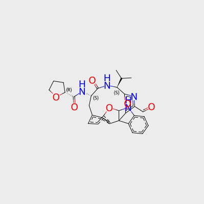 CC(C)[C@@H]1NC(=O)[C@@H](NC(=O)[C@H]2CCCO2)Cc2ccc3c(c2)C2(c4ccccc4NC2O3)c2oc1nc2C=O